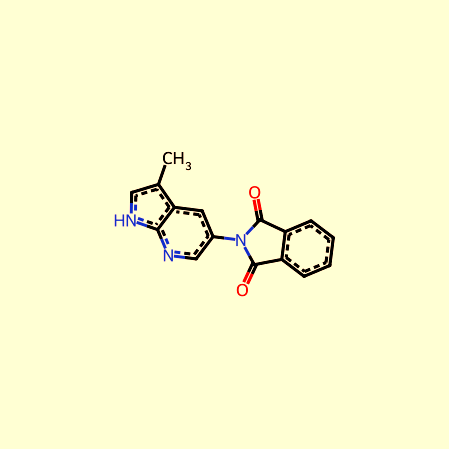 Cc1c[nH]c2ncc(N3C(=O)c4ccccc4C3=O)cc12